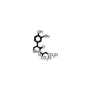 CCOC(=O)CC(NC(=O)C(CC(C)(C)C)c1ccc(O)c(C(C)(C)C)c1)C(=O)OCC